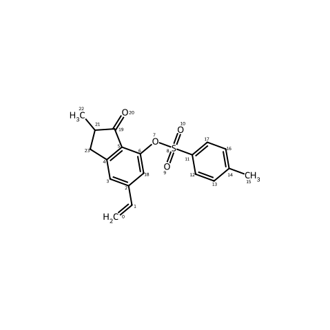 C=Cc1cc2c(c(OS(=O)(=O)c3ccc(C)cc3)c1)C(=O)C(C)C2